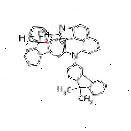 CC1(C)c2ccccc2-c2cc(N(c3ccc4c(c3)-c3ccccc3C4(C)C)c3cccc4ccc5nc(-c6ccccc6)oc5c34)ccc21